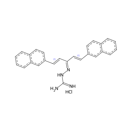 Cl.N=C(N)NN=C(/C=C/c1ccc2ccccc2c1)/C=C/c1ccc2ccccc2c1